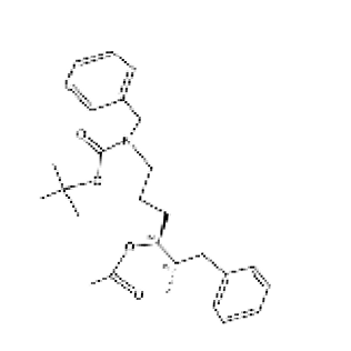 CC(=O)O[C@@H](CCCN(Cc1ccccc1)C(=O)OC(C)(C)C)[C@@H](C)Cc1ccccc1